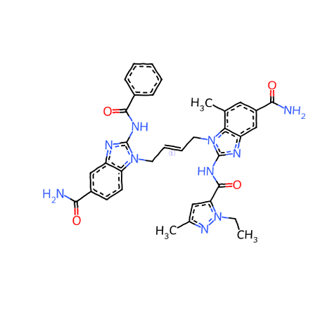 CCn1nc(C)cc1C(=O)Nc1nc2cc(C(N)=O)cc(C)c2n1C/C=C/Cn1c(NC(=O)c2ccccc2)nc2cc(C(N)=O)ccc21